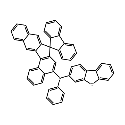 c1ccc(N(c2ccc3c(c2)oc2ccccc23)c2cc3c(c4ccccc24)-c2cc4ccccc4cc2C32c3ccccc3-c3ccccc32)cc1